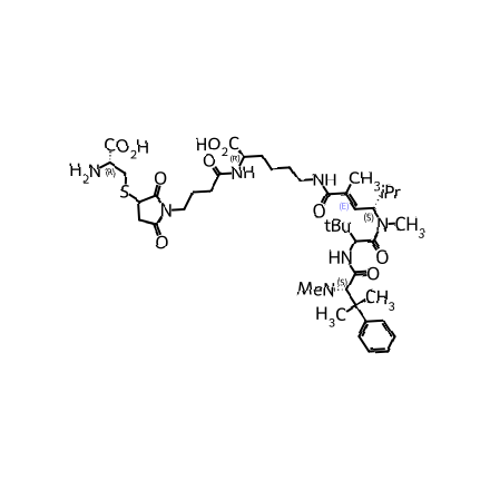 CN[C@H](C(=O)NC(C(=O)N(C)[C@H](/C=C(\C)C(=O)NCCCC[C@@H](NC(=O)CCCN1C(=O)CC(SC[C@H](N)C(=O)O)C1=O)C(=O)O)C(C)C)C(C)(C)C)C(C)(C)c1ccccc1